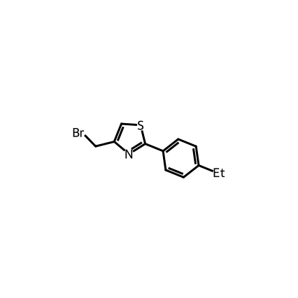 CCc1ccc(-c2nc(CBr)cs2)cc1